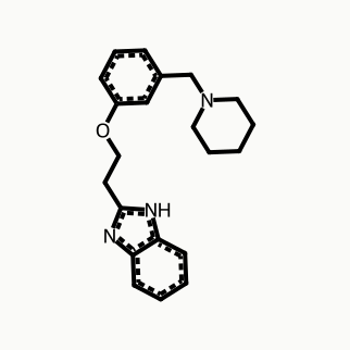 c1cc(CN2CCCCC2)cc(OCCc2nc3ccccc3[nH]2)c1